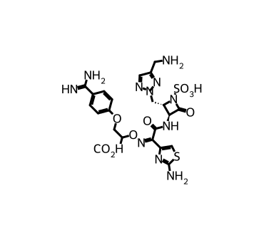 N=C(N)c1ccc(OCC(ON=C(C(=O)N[C@@H]2C(=O)N(S(=O)(=O)O)[C@H]2Cn2ncc(CN)n2)c2csc(N)n2)C(=O)O)cc1